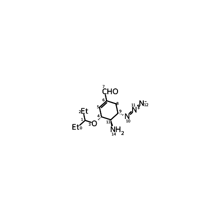 CCC(CC)O[C@@H]1C=C(C=O)C[C@H](N=[N+]=[N-])[C@H]1N